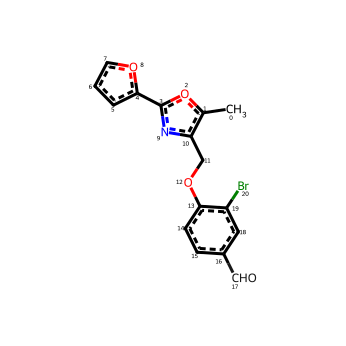 Cc1oc(-c2ccco2)nc1COc1ccc(C=O)cc1Br